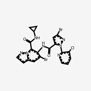 O=C(Nc1c(Br)cc2ccnn2c1C(=O)NC1CC1)c1cc(Br)nn1-c1ncccc1Cl